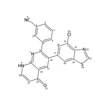 N#Cc1cccc(-c2nc3[nH]ccc(=O)c3cc2-c2cc(Cl)c3ncsc3c2)c1